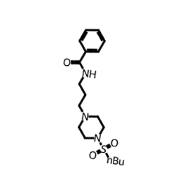 CCCCS(=O)(=O)N1CCN(CCCNC(=O)c2ccccc2)CC1